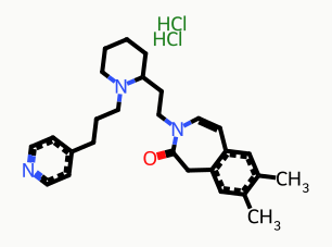 Cc1cc2c(cc1C)CC(=O)N(CCC1CCCCN1CCCc1ccncc1)C=C2.Cl.Cl